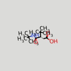 CC(C)(C)NC(=O)[C@@H](CC(=O)O)C(C)(C)C